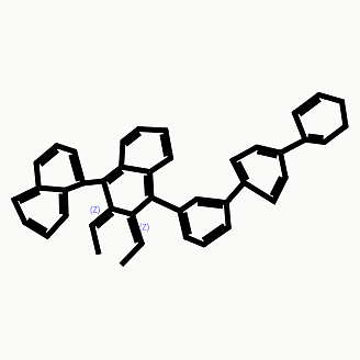 C/C=c1/c(-c2cccc(-c3ccc(C4=CCCC=C4)cc3)c2)c2ccccc2c(-c2cccc3ccccc23)/c1=C/C